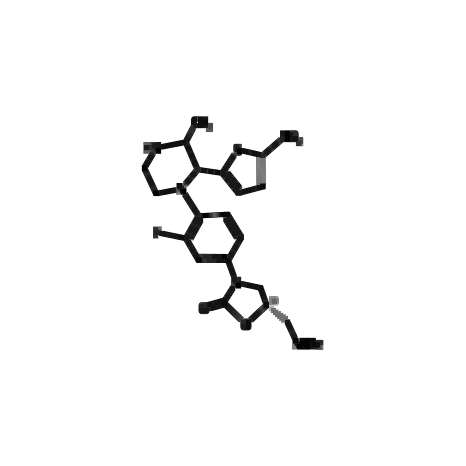 CC(=O)NC[C@H]1CN(c2ccc(N3CCNC(C)C3c3ccc([N+](=O)[O-])s3)c(F)c2)C(=O)O1